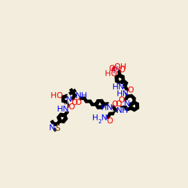 Cc1ncsc1-c1ccc(CNC(=O)[C@@H]2C[C@@H](O)CN2C(=O)[C@@H](NC(=O)CCCCc2ccc(CNC(=O)[C@H](CCC(N)=O)NC(=O)[C@@H]3Cc4cccc5c4N3C(=O)[C@@H](NC(=O)c3cc4cc(C(=O)P(=O)(O)O)ccc4[nH]3)CC5)cc2)C(C)(C)C)cc1